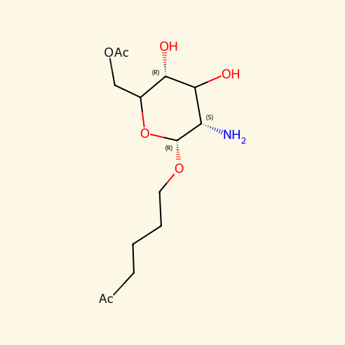 CC(=O)CCCCO[C@@H]1OC(COC(C)=O)[C@H](O)C(O)[C@@H]1N